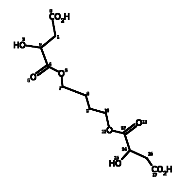 O=C(O)CC(O)C(=O)OCCCCOC(=O)C(O)CC(=O)O